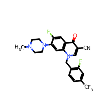 CN1CCN(c2cc3c(cc2F)c(=O)c(C#N)cn3Cc2ccc(C(F)(F)F)cc2F)CC1